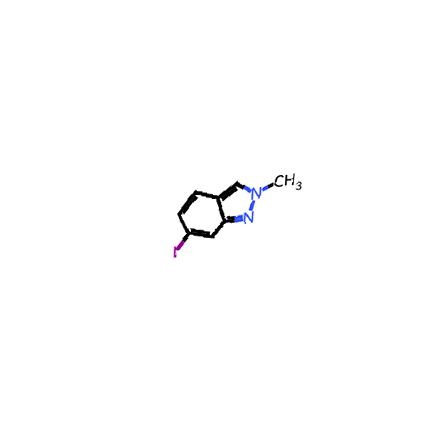 Cn1cc2ccc(I)cc2n1